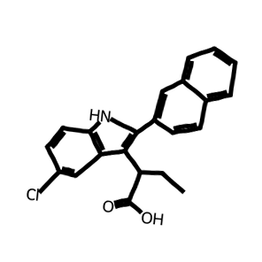 CCC(C(=O)O)c1c(-c2ccc3ccccc3c2)[nH]c2ccc(Cl)cc12